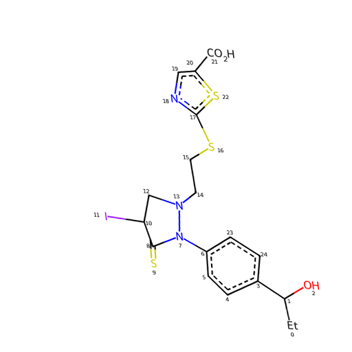 CCC(O)c1ccc(N2C(=S)C(I)CN2CCSc2ncc(C(=O)O)s2)cc1